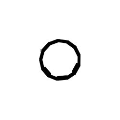 [CH]1CC=CC=CC=CCCCCC1